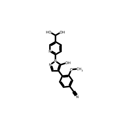 COc1cc(C#N)ccc1-c1cnn(-c2ccc(C(O)O)cn2)c1O